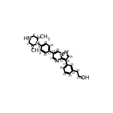 C[C@@H]1CNC[C@H](C)N1c1ccc(-c2cnc3c(-c4cccc(CCO)c4)cnn3c2)cc1